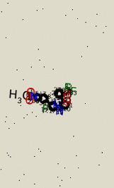 CS(=O)(=O)N1Cc2ccc(-c3cn4c5c(nc4cc3F)CCOC5c3ccccc3OC(F)F)cc2C1